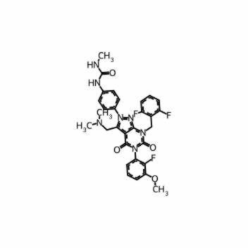 CNC(=O)Nc1ccc(-n2nc3c(c2CN(C)C)c(=O)n(-c2cccc(OC)c2F)c(=O)n3Cc2c(F)cccc2F)cc1